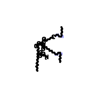 CCCCC/C=C\C/C=C\CCCCCCCC(=O)OCC(COC(=O)CCCCCCC/C=C\C/C=C\CCCCC)OC1OC1CCC(CCCCCCCCCCCC)OC(=O)OCCN(C)C